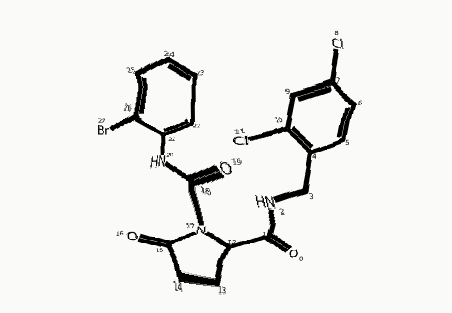 O=C(NCc1ccc(Cl)cc1Cl)C1CCC(=O)N1C(=O)Nc1ccccc1Br